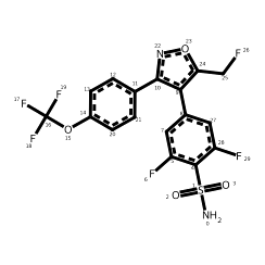 NS(=O)(=O)c1c(F)cc(-c2c(-c3ccc(OC(F)(F)F)cc3)noc2CF)cc1F